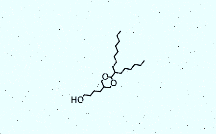 CCCCCCCCC(CCCCCC)C1OCC(CCCCO)CO1